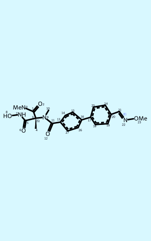 CNC(=O)[C@@](C)(C(=O)NO)N(C)C(=O)c1ccc(-c2ccc(/C=N/OC)cc2)cc1